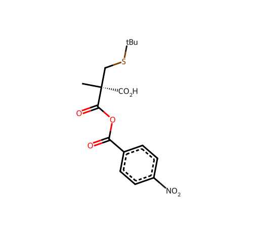 CC(C)(C)SC[C@@](C)(C(=O)O)C(=O)OC(=O)c1ccc([N+](=O)[O-])cc1